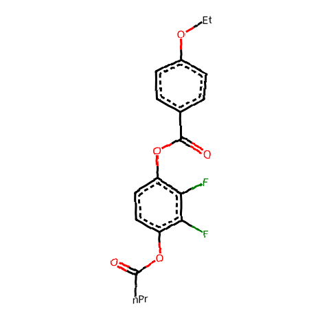 CCCC(=O)Oc1ccc(OC(=O)c2ccc(OCC)cc2)c(F)c1F